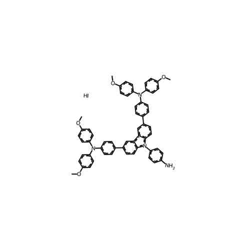 COc1ccc(N(c2ccc(OC)cc2)c2ccc(-c3ccc4c(c3)c3cc(-c5ccc(N(c6ccc(OC)cc6)c6ccc(OC)cc6)cc5)ccc3n4-c3ccc(N)cc3)cc2)cc1.I